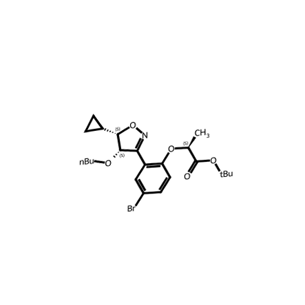 CCCCO[C@H]1C(c2cc(Br)ccc2O[C@@H](C)C(=O)OC(C)(C)C)=NO[C@H]1C1CC1